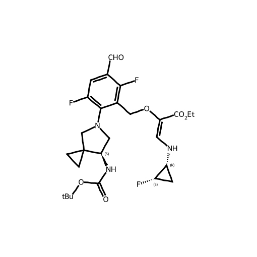 CCOC(=O)C(=CN[C@@H]1C[C@@H]1F)OCc1c(F)c(C=O)cc(F)c1N1C[C@@H](NC(=O)OC(C)(C)C)C2(CC2)C1